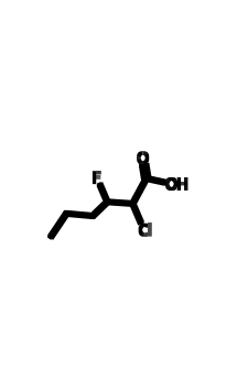 CCCC(F)C(Cl)C(=O)O